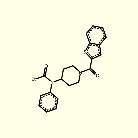 CCC(=O)N(c1ccccc1)C1CCN(C(=O)c2cc3ccccc3s2)CC1